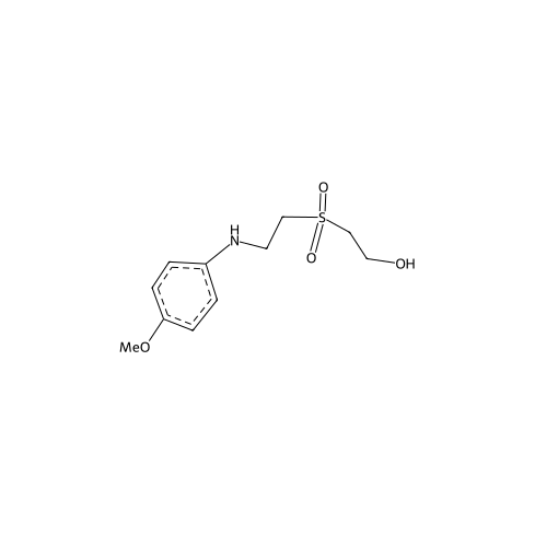 COc1ccc(NCCS(=O)(=O)CCO)cc1